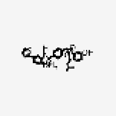 CC(C)CCOP(=O)(Cc1ccc(C(=O)Nc2cc(-c3cccs3)ccc2N)cc1)c1cccc(O)c1